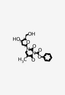 Cc1cn([C@H]2C[C@H](O)[C@@H](CO)O2)c(=O)n(C(=O)Oc2ccccc2)c1=O